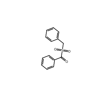 O=C(c1ccccc1)S(=O)(=O)Cc1ccccc1